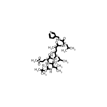 CC(C)C[C@H](NC(=O)[C@H](C)C[C@H](O)[C@H](CC(C)C)NC(=O)[C@H](CCS(C)(=O)=O)NC(=O)[C@@H](NC(=O)OC(C)(C)C)C(C)C)C(=O)NCc1cccnc1